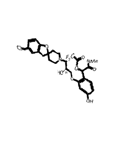 CNC(=O)C(OC(=O)C(F)(F)F)c1ccc(O)cc1OC[C@H](O)CN1CCC2(CC1)Cc1cc(Cl)ccc1O2